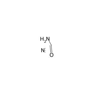 NC=O.[N]